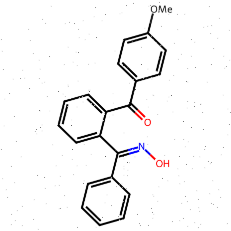 COc1ccc(C(=O)c2ccccc2C(=NO)c2ccccc2)cc1